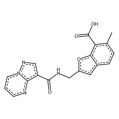 Cc1ccc2cc(CNC(=O)c3cnn4cccnc34)oc2c1C(=O)O